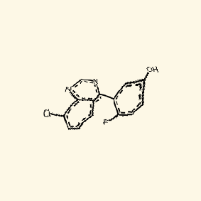 Oc1ccc(F)c(-c2ncnc3c(Cl)cccc23)c1